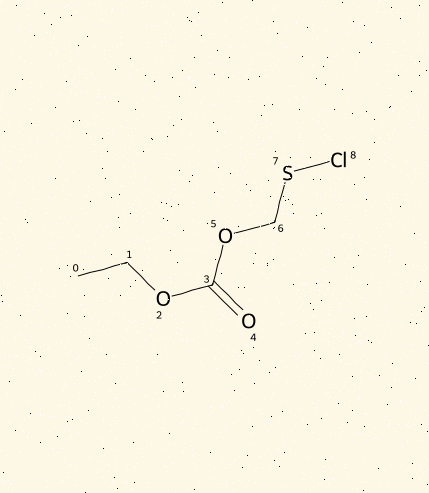 CCOC(=O)OCSCl